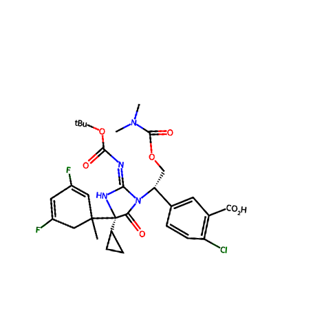 CN(C)C(=O)OC[C@H](c1ccc(Cl)c(C(=O)O)c1)N1C(=O)[C@@](C2CC2)(C2(C)C=C(F)C=C(F)C2)N/C1=N\C(=O)OC(C)(C)C